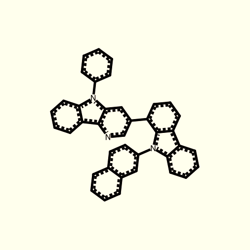 c1ccc(-n2c3ccccc3c3ncc(-c4cccc5c6ccccc6n(-c6ccc7ccccc7c6)c45)cc32)cc1